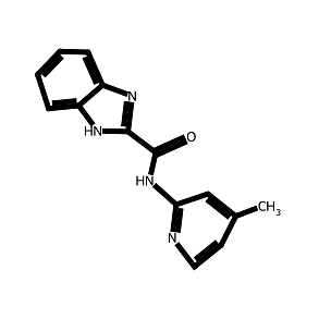 Cc1ccnc(NC(=O)c2nc3ccccc3[nH]2)c1